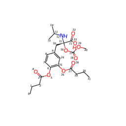 CCCC(=O)Oc1ccc(C[C@](NC(C)C)(OC(=O)OC)C(=O)O)cc1OC(=O)CCC